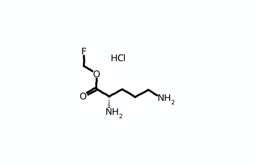 Cl.NCCC[C@H](N)C(=O)OCF